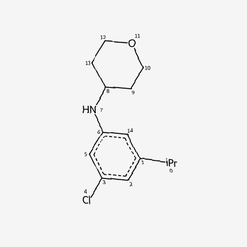 CC(C)c1cc(Cl)cc(NC2CCOCC2)c1